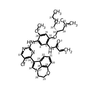 C=CC(=O)Nc1cc(Nc2ncc(Cl)c(-c3cn4c5c(cccc35)OCC4)n2)c(OC)cc1O[C@H](COCC)CN(C)C